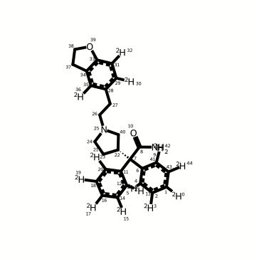 [2H]c1c([2H])c([2H])c(C(C(N)=O)(c2c([2H])c([2H])c([2H])c([2H])c2[2H])[C@@H]2CCN(CCc3c([2H])c([2H])c4c(c3[2H])CCO4)C2)c([2H])c1[2H]